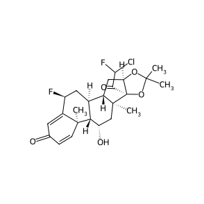 CC1(C)O[C@@H]2C[C@H]3[C@@H]4C[C@H](F)C5=CC(=O)C=C[C@]5(C)[C@H]4[C@@H](O)C[C@]3(C)[C@]2(C(=O)C(F)Cl)O1